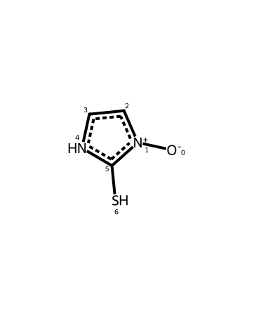 [O-][n+]1cc[nH]c1S